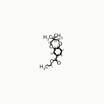 CCOC(=O)c1ccc2c(c1)OCC(C)(C)CO2